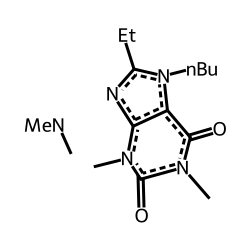 CCCCn1c(CC)nc2c1c(=O)n(C)c(=O)n2C.CNC